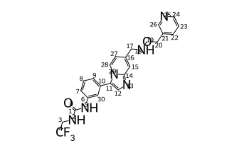 O=C(NCC(F)(F)F)Nc1cccc(-c2cnc3cc(CNOCc4cccnc4)ccn23)c1